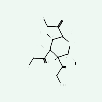 NCC(=O)[C@@]1(O)[C@@H](O)[C@@](O)(C(=O)CN)O[C@H](CO)[C@]1(O)C(=O)CN